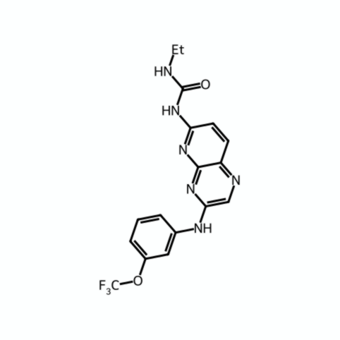 CCNC(=O)Nc1ccc2ncc(Nc3cccc(OC(F)(F)F)c3)nc2n1